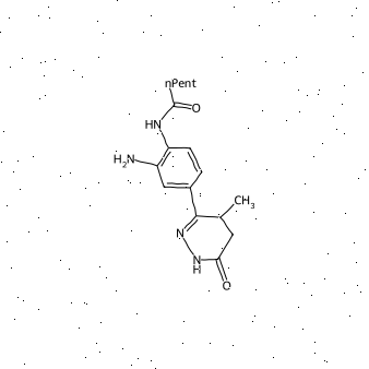 CCCCCC(=O)Nc1ccc(C2=NNC(=O)CC2C)cc1N